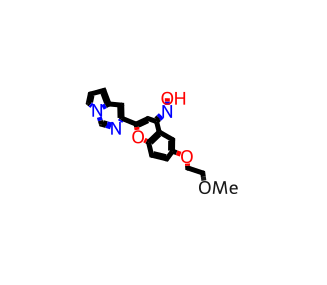 COCCOc1ccc2oc(-c3cc4cccn4cn3)cc(=NO)c2c1